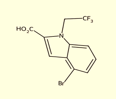 O=C(O)c1cc2c(Br)cccc2n1CC(F)(F)F